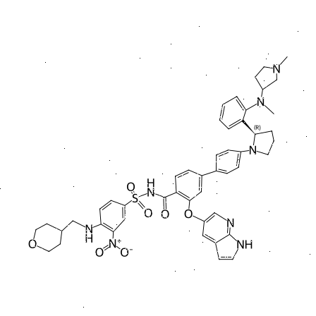 CN1CCC(N(C)c2ccccc2[C@H]2CCCN2c2ccc(-c3ccc(C(=O)NS(=O)(=O)c4ccc(NCC5CCOCC5)c([N+](=O)[O-])c4)c(Oc4cnc5[nH]ccc5c4)c3)cc2)C1